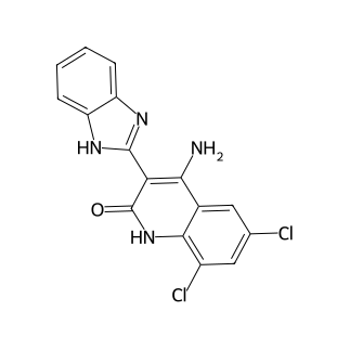 Nc1c(-c2nc3ccccc3[nH]2)c(=O)[nH]c2c(Cl)cc(Cl)cc12